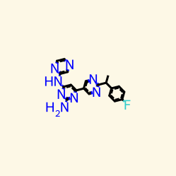 CC(c1ccc(F)cc1)c1ncc(-c2cc(Nc3cnccn3)nc(N)n2)cn1